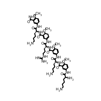 COc1ccc(NC(=O)[C@H](CCCCN)NC(=O)C2=CC(NC(=O)[C@H](CCCNC(=N)N)NC(=O)c3cc(NC(=O)[C@H](CCCCN)NC(=O)c4cc(NC(=O)C(N)CCCCN)ccc4OC)ccc3OC)=CCC2OC)cc1C(N)=O